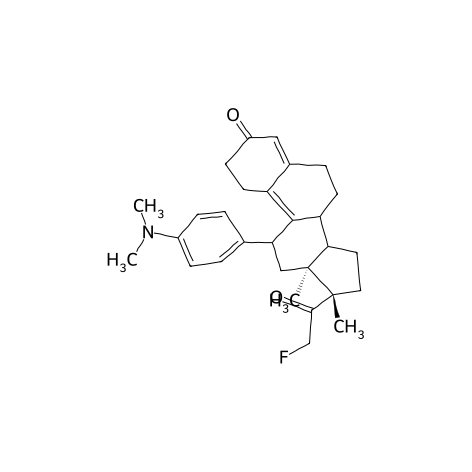 CN(C)c1ccc(C2C[C@@]3(C)C(CC[C@]3(C)C(=O)CF)C3CCC4=CC(=O)CCC4=C23)cc1